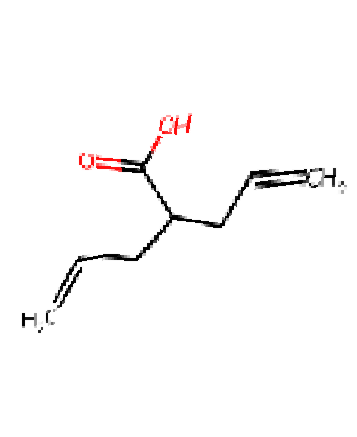 C=CCC(CC=C)C(=O)O